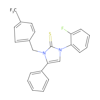 Fc1ccccc1-n1cc(-c2ccccc2)n(Cc2ccc(C(F)(F)F)cc2)c1=S